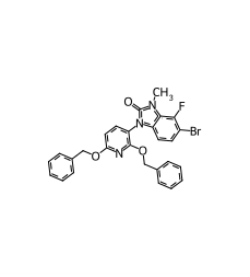 Cn1c(=O)n(-c2ccc(OCc3ccccc3)nc2OCc2ccccc2)c2ccc(Br)c(F)c21